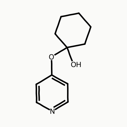 OC1(Oc2ccncc2)CCCCC1